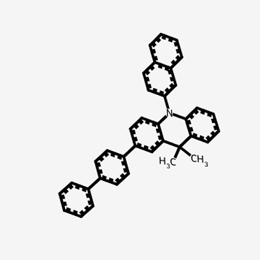 CC1(C)c2ccccc2N(c2ccc3ccccc3c2)c2ccc(-c3ccc(-c4ccccc4)cc3)cc21